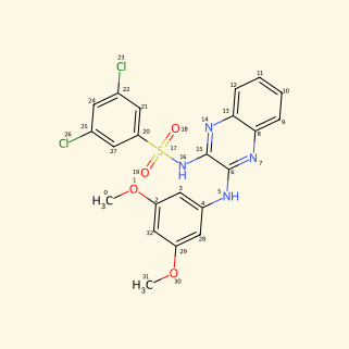 COc1cc(Nc2nc3ccccc3nc2NS(=O)(=O)c2cc(Cl)cc(Cl)c2)cc(OC)c1